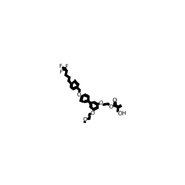 C=C(CO)C(=O)OCCOc1cc(OCCOC)cc(-c2ccc(OCc3ccc(CCCCC(F)(F)F)cc3)cc2)c1